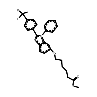 COC(=O)CCCCCOc1ccc2nc(-c3ccc(C(F)(F)F)cc3)n(-c3ccccc3)c2c1